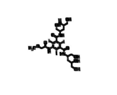 COCC(=O)Nc1c(I)c(C(=O)NC(CO)CC(O)CO)c(I)c(C(=O)NC(CO)CC(O)CO)c1I